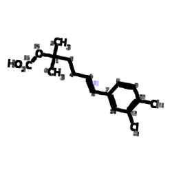 CC(C)(CC/C=C/c1ccc(Cl)c(Cl)c1)OC(=O)O